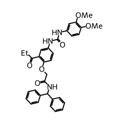 CCC(=O)c1cc(NC(=O)Nc2ccc(OC)c(OC)c2)ccc1OCC(=O)NC(c1ccccc1)c1ccccc1